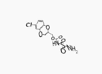 NS(=O)(=O)NC(=O)OCC1COc2cc(Cl)ccc2O1